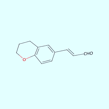 O=CC=Cc1ccc2c(c1)CCCO2